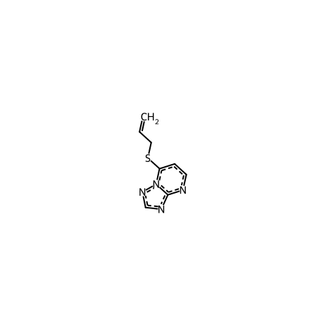 C=CCSc1ccnc2ncnn12